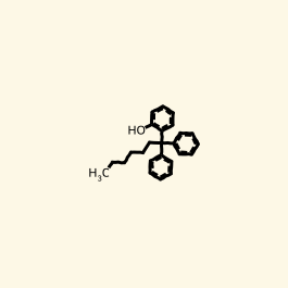 CCCCCCC(c1ccccc1)(c1ccccc1)c1ccccc1O